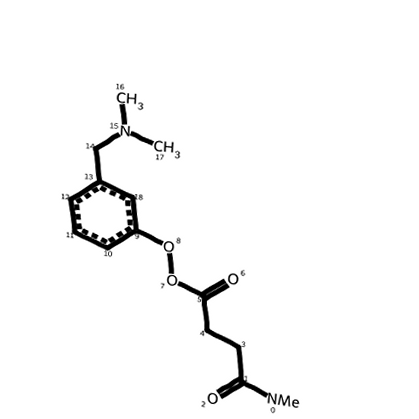 CNC(=O)CCC(=O)OOc1cccc(CN(C)C)c1